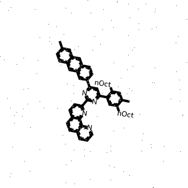 CCCCCCCCc1cc(-c2cc(-c3ccc4cc5cc(C)ccc5cc4c3)nc(-c3ccc4ccc5cccnc5c4n3)n2)c(CCCCCCCC)cc1C